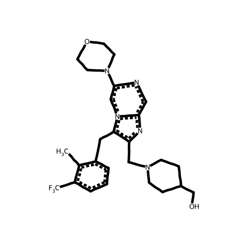 Cc1c(Cc2c(CN3CCC(CO)CC3)nc3cnc(N4CCOCC4)cn23)cccc1C(F)(F)F